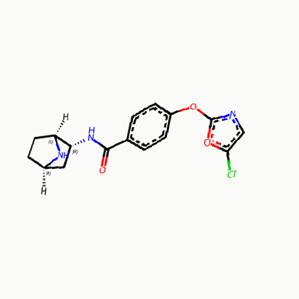 O=C(N[C@@H]1C[C@H]2CC[C@@H]1N2)c1ccc(Oc2ncc(Cl)o2)cc1